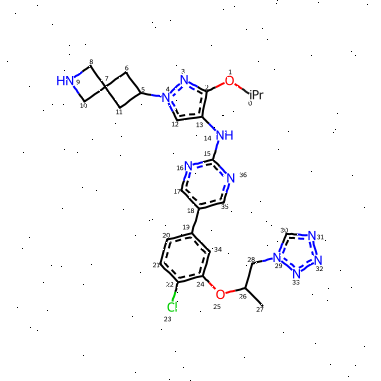 CC(C)Oc1nn(C2CC3(CNC3)C2)cc1Nc1ncc(-c2ccc(Cl)c(OC(C)Cn3cnnn3)c2)cn1